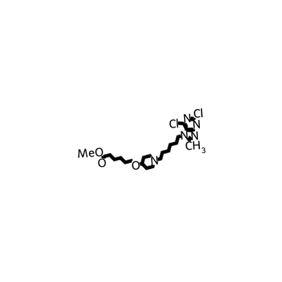 COC(=O)CCCCCOC1CCN(CCCCCCn2c(C)nc3nc(Cl)nc(Cl)c32)CC1